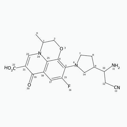 CC1COc2c(N3CCC(C(N)CC#N)C3)c(F)cc3c(=O)c(C(=O)O)cn1c23